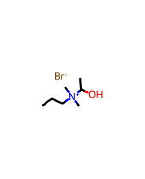 CCC[N+](C)(C)C(C)O.[Br-]